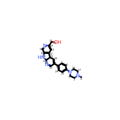 CN1CCN(c2ccc(C3=CC4c5cc(CO)ncc5NC4N=C3)cc2)CC1